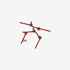 CCCCCCCCCCCCCCCCCC(=O)OC(=O)CCCCCCC/C=C\C[C@@H](CCCCCC)OC(=O)CCCCCCCCCCCCCCCCC.CCCCCCCCCCCCCCCCCC(=O)OC(=O)CCCCCCCCCCC(CCCCCC)OC(=O)CCCCCCCCCCC(CCCCCC)OC(=O)CCCCCCCCCCC(O)CCCCCC